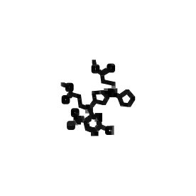 COC(=O)CCN(c1nc(Cl)ncc1[N+](=O)[O-])C1CCCC1.COC(=O)CCNC1CCCC1